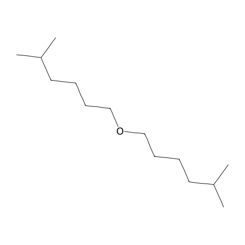 CC(C)CCCCOCCCCC(C)C